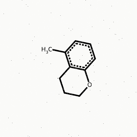 Cc1cccc2c1[CH]CCO2